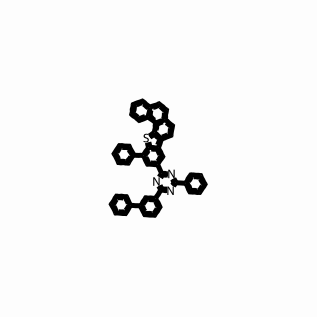 c1ccc(-c2cccc(-c3nc(-c4ccccc4)nc(-c4cc(-c5ccccc5)c5sc6c(ccc7ccc8ccccc8c76)c5c4)n3)c2)cc1